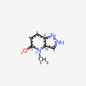 Cn1c(=O)ccc2n[nH]cc21